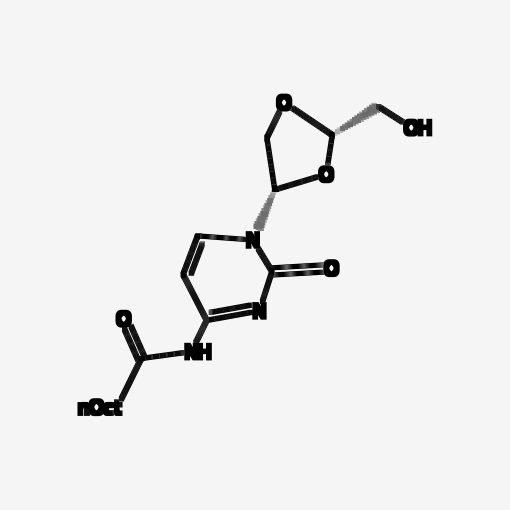 CCCCCCCCC(=O)Nc1ccn([C@@H]2CO[C@H](CO)O2)c(=O)n1